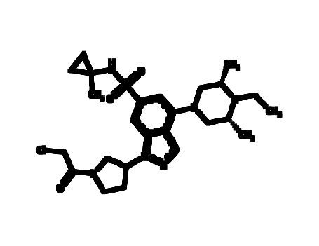 CCN1[C@H](C)CN(c2cc(S(=O)(=O)NC3(C)CC3)cc3c2cnn3C2CCN(C(=O)CCl)C2)C[C@@H]1C